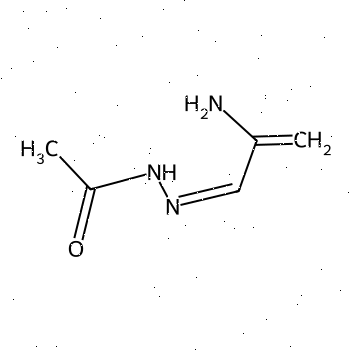 C=C(N)/C=N\NC(C)=O